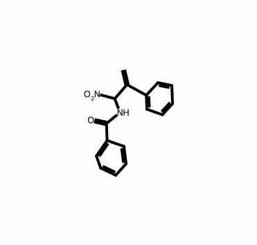 C=C(c1ccccc1)C(NC(=O)c1ccccc1)[N+](=O)[O-]